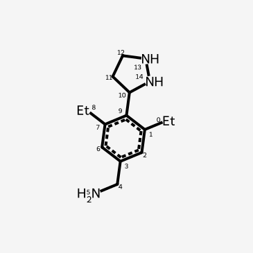 CCc1cc(CN)cc(CC)c1C1CCNN1